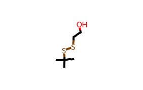 CC(C)(C)SSCCO